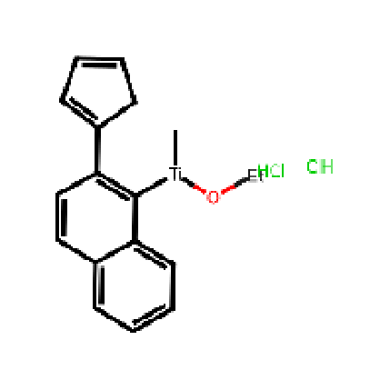 CC[O][Ti]([CH3])[c]1c(C2=CC=CC2)ccc2ccccc12.Cl.Cl